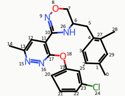 Cc1ccc(CC2CON=C(c3cc(C)nnc3Oc3cccc(Cl)c3)N2)c(C)c1